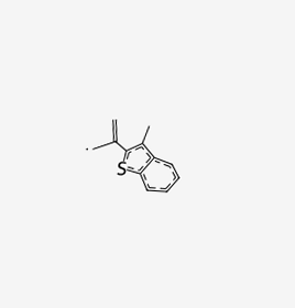 [CH2]C(=C)c1sc2ccccc2c1C